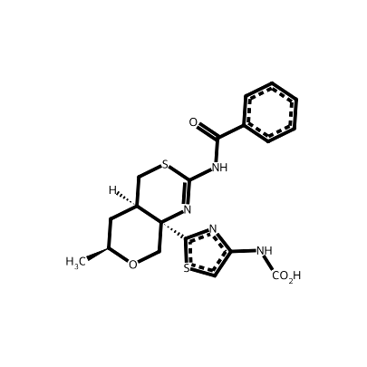 C[C@H]1C[C@H]2CSC(NC(=O)c3ccccc3)=N[C@@]2(c2nc(NC(=O)O)cs2)CO1